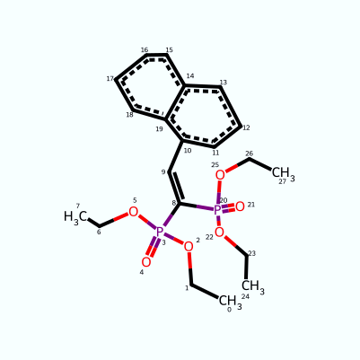 CCOP(=O)(OCC)C(=Cc1cccc2ccccc12)P(=O)(OCC)OCC